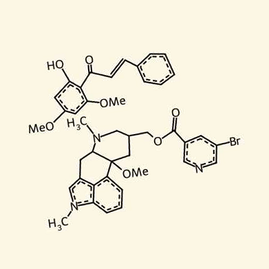 COC12CC(COC(=O)c3cncc(Br)c3)CN(C)C1Cc1cn(C)c3cccc2c13.COc1cc(O)c(C(=O)C=Cc2ccccc2)c(OC)c1